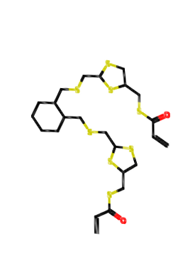 C=CC(=O)SCC1CSC(CSCC2CCCCC2CSCC2SCC(CSC(=O)C=C)S2)S1